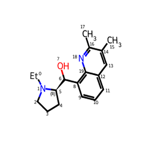 CCN1CCC[C@@H]1C(O)c1cccc2cc(C)c(C)nc12